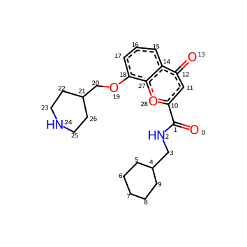 O=C(NCC1CCCCC1)c1cc(=O)c2cccc(OCC3CCNCC3)c2o1